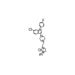 CC(C)N1CCN(CCN2CCN(c3cn(-c4ccc(F)cc4)c4cc(Cl)ccc34)CC2)C1=O